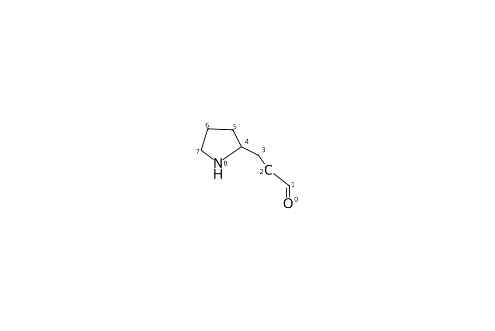 O=CCCC1CCCN1